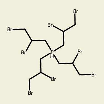 BrCC(Br)C[PH](CC(Br)CBr)(CC(Br)CBr)CC(Br)CBr